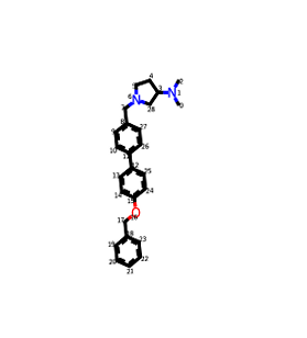 CN(C)C1CCN(Cc2ccc(-c3ccc(OCc4ccccc4)cc3)cc2)C1